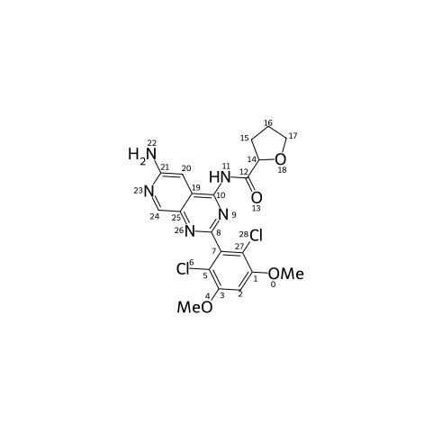 COc1cc(OC)c(Cl)c(-c2nc(NC(=O)C3CCCO3)c3cc(N)ncc3n2)c1Cl